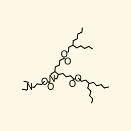 CCCCCC(CCCCC)CCOC(=O)CCCC1CN(C(=O)OCCCN(CC)CC)CC1CCCC(=O)OCCC(CCCCC)CCCCC